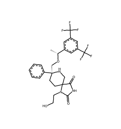 C[C@@H](OC[C@@]1(c2ccccc2)CCC2(CN1)C(=O)NC(=O)N2CCO)c1cc(C(F)(F)F)cc(C(F)(F)F)c1